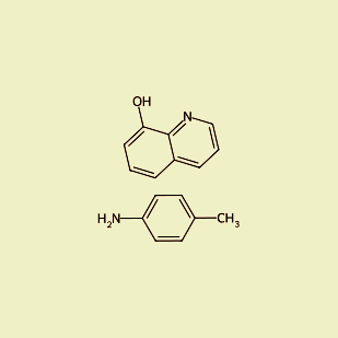 Cc1ccc(N)cc1.Oc1cccc2cccnc12